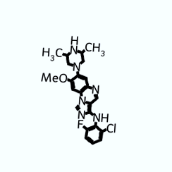 COc1cc2c(cc1N1CC(C)NC(C)C1)ncc1c(Nc3c(F)cccc3Cl)ncn12